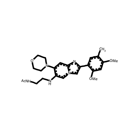 COc1cc(OC)c(-c2cn3cc(NCCNC(C)=O)c(N4CCOCC4)cc3n2)cc1C